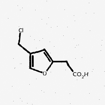 O=C(O)Cc1cc(CCl)co1